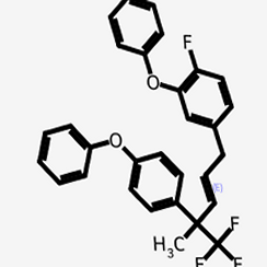 CC(/C=C/Cc1ccc(F)c(Oc2ccccc2)c1)(c1ccc(Oc2ccccc2)cc1)C(F)(F)F